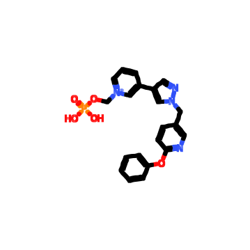 O=P(O)(O)OC[n+]1cccc(-c2cnn(Cc3ccc(Oc4ccccc4)nc3)c2)c1